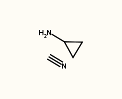 C#N.NC1CC1